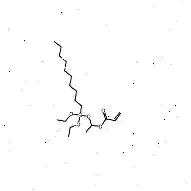 C=CC(=O)OC(C)O[Si](CCCCCCCCCC)(OCC)OCC